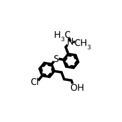 CN(C)Cc1ccccc1Sc1ccc(Cl)cc1CCCO